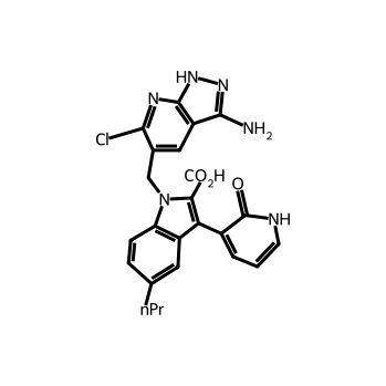 CCCc1ccc2c(c1)c(-c1ccc[nH]c1=O)c(C(=O)O)n2Cc1cc2c(N)n[nH]c2nc1Cl